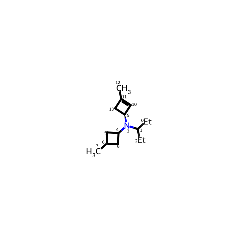 CCC(CC)N(C1CC(C)C1)[C@@H]1C=C(C)C1